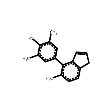 Cc1cc(-c2c(C)ccc3c2C=CC3)cc(C)c1Cl